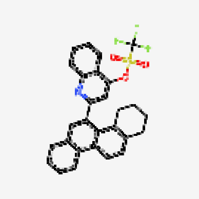 O=S(=O)(Oc1cc(-c2cc3ccccc3c3ccc4c(c23)CCCC4)nc2ccccc12)C(F)(F)F